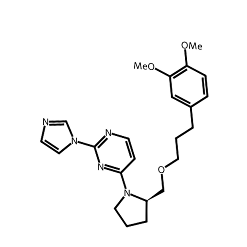 COc1ccc(CCCOC[C@H]2CCCN2c2ccnc(-n3ccnc3)n2)cc1OC